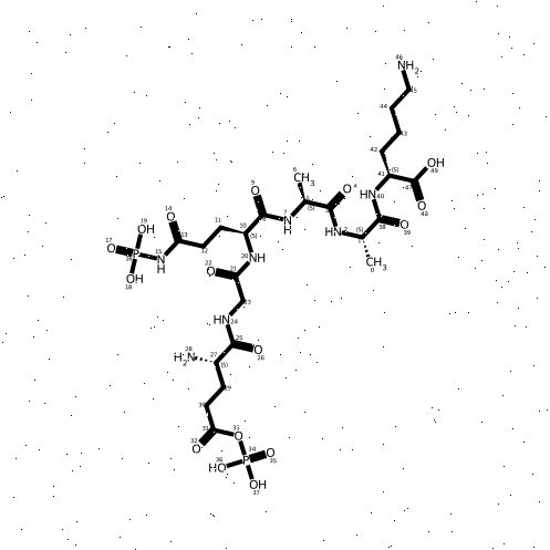 C[C@H](NC(=O)[C@H](C)NC(=O)[C@H](CCC(=O)NP(=O)(O)O)NC(=O)CNC(=O)[C@@H](N)CCC(=O)OP(=O)(O)O)C(=O)N[C@@H](CCCCN)C(=O)O